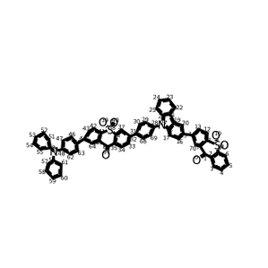 O=C1c2ccccc2S(=O)(=O)c2ccc(-c3ccc4c(c3)c3ccccc3n4-c3ccc(-c4ccc5c(c4)S(=O)(=O)c4ccc(-c6ccc(N(c7ccccc7)c7ccccc7)cc6)cc4C5=O)cc3)cc21